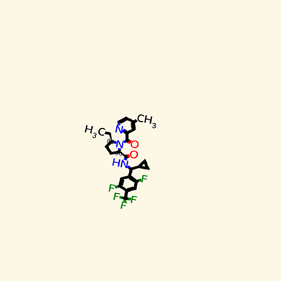 CC[C@@H]1CC[C@H](C(=O)NC(c2cc(F)c(C(F)(F)F)cc2F)C2CC2)N1C(=O)c1cc(C)ccn1